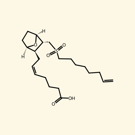 C=CCCCCCCS(=O)(=O)C[C@@H]1[C@@H](C/C=C\CCCC(=O)O)[C@H]2CC[C@@H]1O2